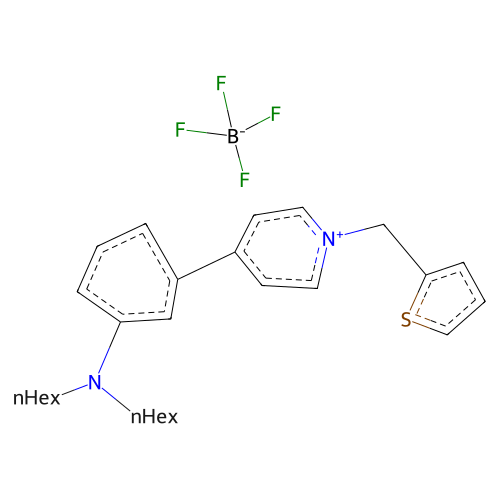 CCCCCCN(CCCCCC)c1cccc(-c2cc[n+](Cc3cccs3)cc2)c1.F[B-](F)(F)F